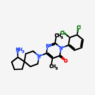 Cc1c(N2CCC3(CCC[C@H]3N)CC2)nc(C)n(C2=CC=C[C@H](Cl)[C@@H]2Cl)c1=O